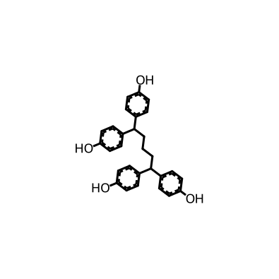 Oc1ccc(C(CCCC(c2ccc(O)cc2)c2ccc(O)cc2)c2ccc(O)cc2)cc1